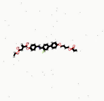 C=CC(=O)OCCCCOc1ccc(-c2ccc(/C=C/c3ccc(OC(=O)C(=C)CC(=O)OCC)cc3)c(F)c2)cc1